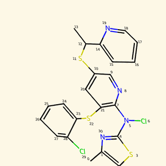 Cc1csc(N(Cl)c2ncc(SC(C)c3ccccn3)cc2Sc2ccccc2Cl)n1